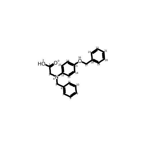 O=C(O)CN(Cc1ccccc1)c1ccc(OCc2ccccc2)cc1